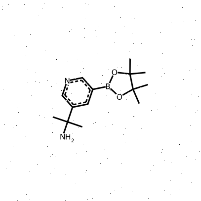 CC(C)(N)c1cncc(B2OC(C)(C)C(C)(C)O2)c1